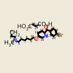 C=CCN(C)CCCCCCOc1ccc(C(=O)c2ccc(Br)cc2)nc1.O=C(O)/C=C/C(=O)O